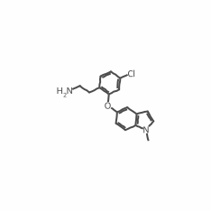 Cn1ccc2cc(Oc3cc(Cl)ccc3CCN)ccc21